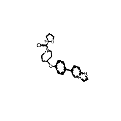 O=C([C@H]1CCCO1)N1CCC(Oc2ccc(-c3ccc4nccn4c3)cc2)CC1